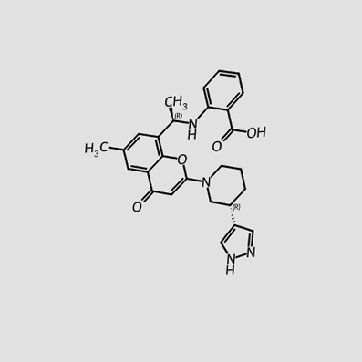 Cc1cc([C@@H](C)Nc2ccccc2C(=O)O)c2oc(N3CCC[C@H](c4cn[nH]c4)C3)cc(=O)c2c1